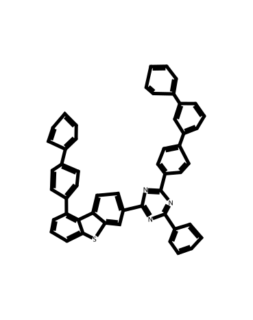 c1ccc(-c2ccc(-c3cccc4sc5cc(-c6nc(-c7ccccc7)nc(-c7ccc(-c8cccc(-c9ccccc9)c8)cc7)n6)ccc5c34)cc2)cc1